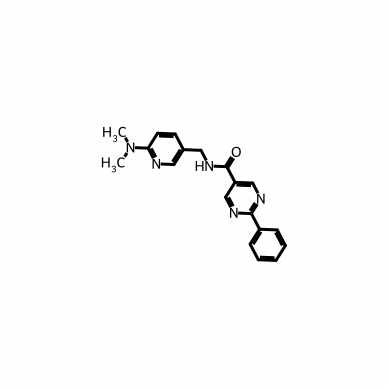 CN(C)c1ccc(CNC(=O)c2cnc(-c3ccccc3)nc2)cn1